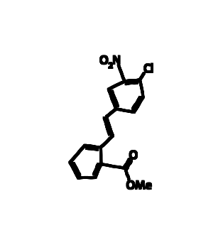 COC(=O)c1ccccc1C=Cc1ccc(Cl)c([N+](=O)[O-])c1